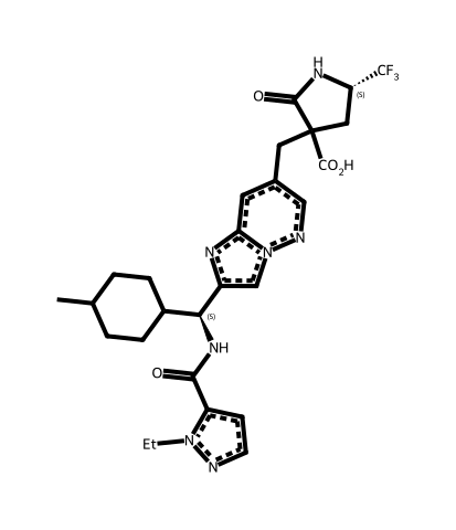 CCn1nccc1C(=O)N[C@H](c1cn2ncc(CC3(C(=O)O)C[C@@H](C(F)(F)F)NC3=O)cc2n1)C1CCC(C)CC1